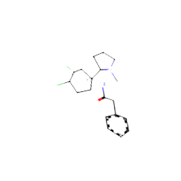 CN1CCCC1[C@@]1(NC(=O)Cc2ccccc2)CCC(Cl)[C@@H](Cl)C1